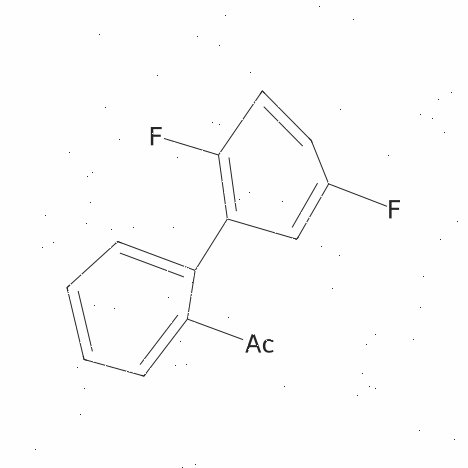 CC(=O)c1ccccc1-c1cc(F)ccc1F